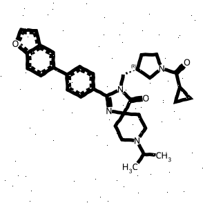 CC(C)N1CCC2(CC1)N=C(c1ccc(-c3ccc4occc4c3)cc1)N(C[C@@H]1CCN(C(=O)C3CC3)C1)C2=O